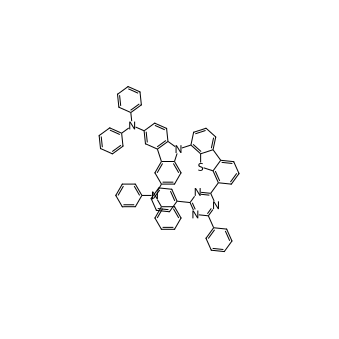 c1ccc(-c2nc(-c3ccccc3)nc(-c3cccc4c3sc3c(-n5c6ccc(N(c7ccccc7)c7ccccc7)cc6c6cc(N(c7ccccc7)c7ccccc7)ccc65)cccc34)n2)cc1